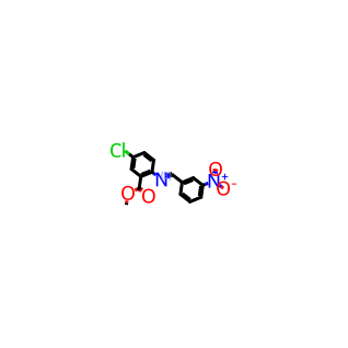 COC(=O)c1cc(Cl)ccc1/N=C/c1cccc([N+](=O)[O-])c1